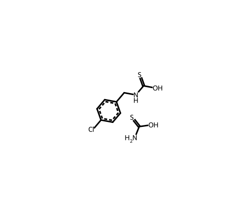 NC(O)=S.OC(=S)NCc1ccc(Cl)cc1